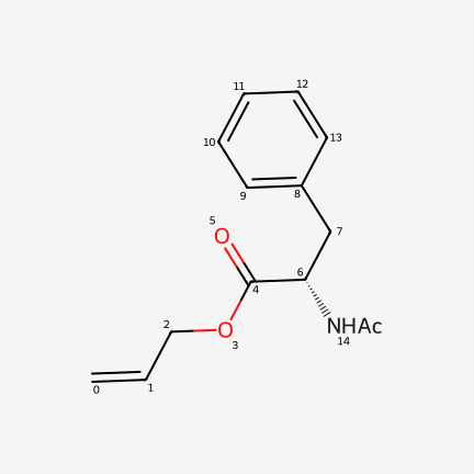 C=CCOC(=O)[C@H](Cc1ccccc1)NC(C)=O